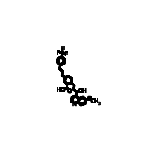 COc1ccc2nccc([C@@H](O)CC[C@@H]3CCN(CCCc4ccc(C(F)(F)F)cc4)C[C@@H]3C(=O)O)c2c1